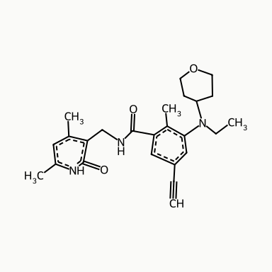 C#Cc1cc(C(=O)NCc2c(C)cc(C)[nH]c2=O)c(C)c(N(CC)C2CCOCC2)c1